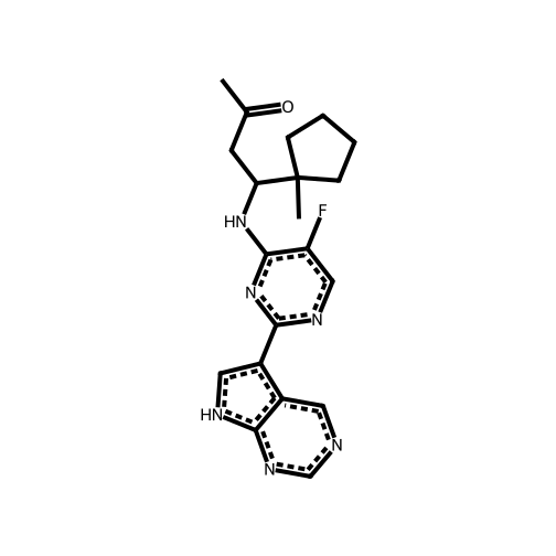 CC(=O)CC(Nc1nc(-c2c[nH]c3ncncc23)ncc1F)C1(C)CCCC1